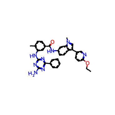 CCOc1ccc(-c2cn(C)c3cc(NC(=O)c4ccc(C)c(Nc5nc(N)nc(-c6ccccc6)n5)c4)ccc23)cn1